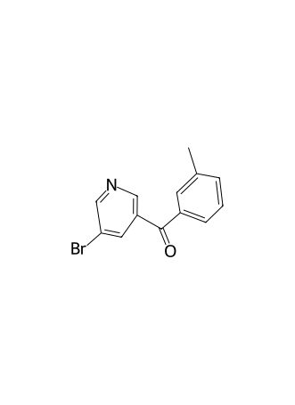 Cc1cccc(C(=O)c2cncc(Br)c2)c1